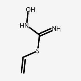 C=CSC(=N)NO